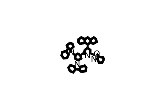 c1ccc2c(-c3cc(-c4cc(-n5c6ccccc6c6ccccc65)cc(-n5c6ccccc6c6ccccc65)c4)nc(-c4nc5ccccc5o4)c3)c3ccccc3cc2c1